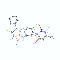 CC(C(=S)Cc1ccccc1)S(=O)(=O)Nc1cc(-n2c(=O)cc(C(F)(F)F)n(C)c2=O)c(F)cc1Cl